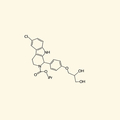 CC(C)OC(=O)N1CCc2c([nH]c3ccc(Cl)cc23)C1c1ccc(OCC(O)CO)cc1